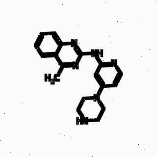 Cc1nc(Nc2cc(N3CCNCC3)ccn2)nc2ccccc12